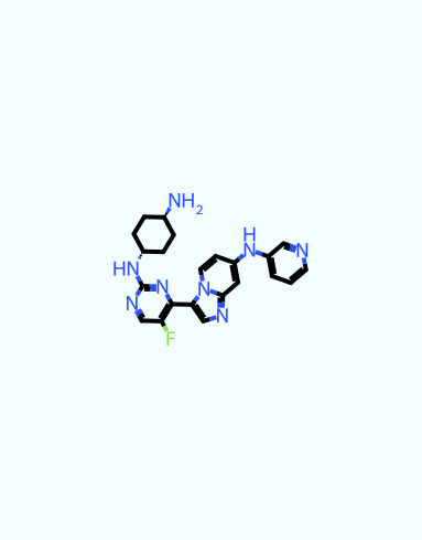 N[C@H]1CC[C@H](Nc2ncc(F)c(-c3cnc4cc(Nc5cccnc5)ccn34)n2)CC1